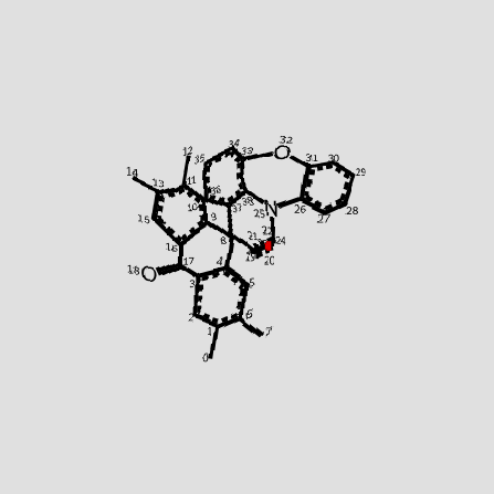 Cc1cc2c(cc1C)C1(c3cc(C)c(C)cc3C2=O)c2ccccc2N2c3ccccc3Oc3cccc1c32